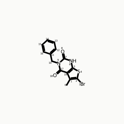 Cc1c(Br)sc2[nH]c(=O)n(Cc3ccccc3)c(=O)c12